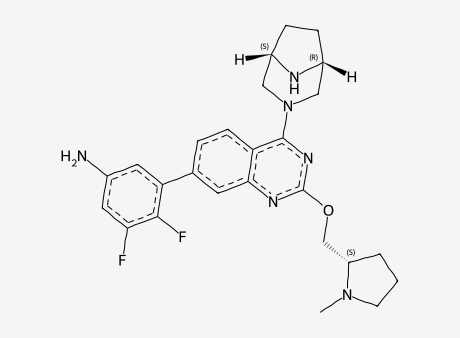 CN1CCC[C@H]1COc1nc(N2C[C@H]3CC[C@@H](C2)N3)c2ccc(-c3cc(N)cc(F)c3F)cc2n1